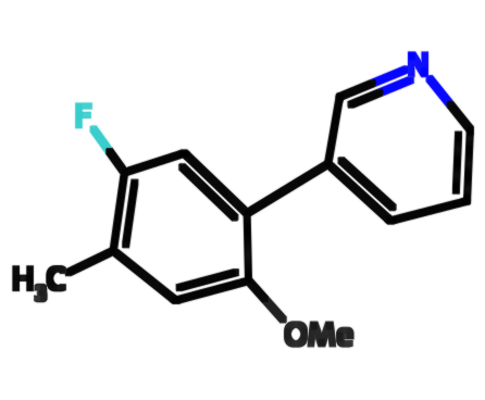 COc1cc(C)c(F)cc1-c1cccnc1